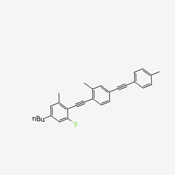 CCCCc1cc(C)c(C#Cc2ccc(C#Cc3ccc(C)cc3)cc2C)c(F)c1